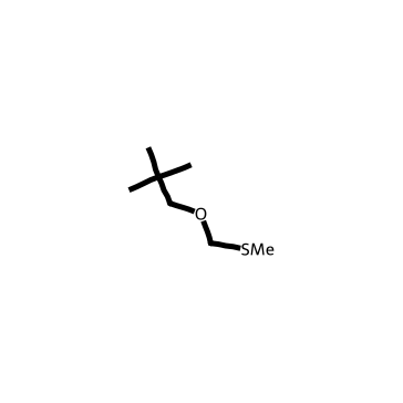 CSCOCC(C)(C)C